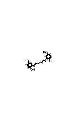 Oc1ccc(O)c(SCCOCCSc2cc(O)ccc2O)c1